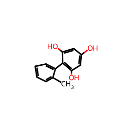 Cc1ccccc1-c1c(O)cc(O)cc1O